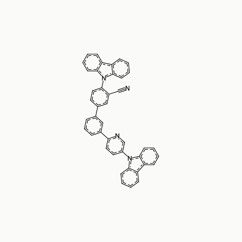 N#Cc1cc(-c2cccc(-c3ccc(-n4c5ccccc5c5ccccc54)cn3)c2)ccc1-n1c2ccccc2c2ccccc21